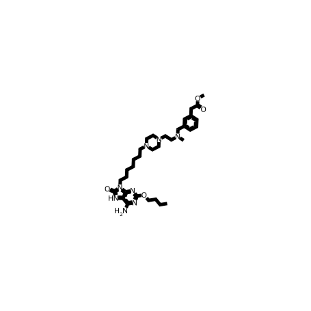 CCCCOc1nc(N)c2[nH]c(=O)n(CCCCCCCN3CCN(CCN(C)Cc4cccc(CC(=O)OC)c4)CC3)c2n1